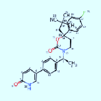 C[C@@H](c1ccc(-c2ccc(=O)[nH]c2)cc1)N1CC[C@@](CC(C)(C)C#N)(c2ccc(F)cc2)OC1=O